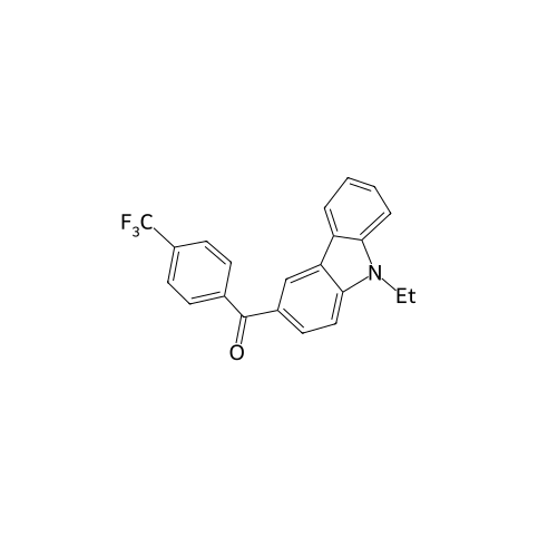 CCn1c2ccccc2c2cc(C(=O)c3ccc(C(F)(F)F)cc3)ccc21